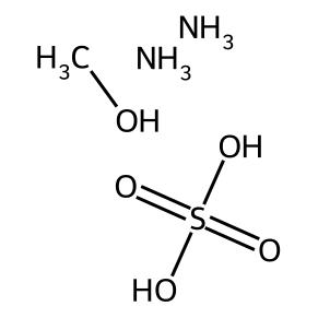 CO.N.N.O=S(=O)(O)O